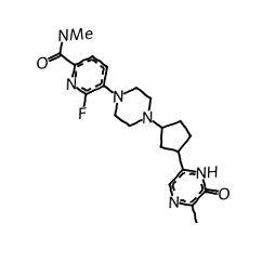 CNC(=O)c1ccc(N2CCN(C3CCC(c4cnc(C)c(=O)[nH]4)C3)CC2)c(F)n1